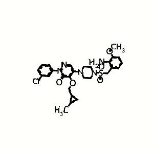 COc1cccc(CS(=O)(=O)N2CCN(c3cnn(-c4cccc(Cl)c4)c(=O)c3OCC3CC3C)CC2)c1N